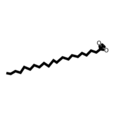 CCCCCCCCCCCCCCCCCCCCC12OC1O2